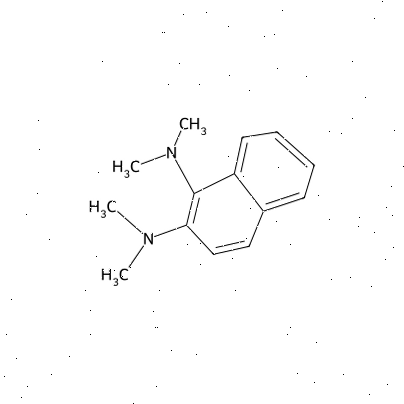 CN(C)c1ccc2ccccc2c1N(C)C